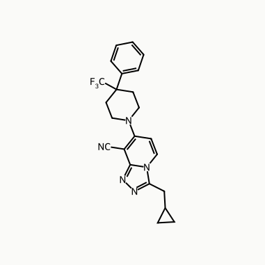 N#Cc1c(N2CCC(c3ccccc3)(C(F)(F)F)CC2)ccn2c(CC3CC3)nnc12